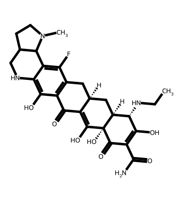 CCN[C@@H]1C(O)=C(C(N)=O)C(=O)[C@@]2(O)C(O)=C3C(=O)c4c(O)c5c(c(F)c4C[C@H]3C[C@@H]12)C1C(CCN1C)CN5